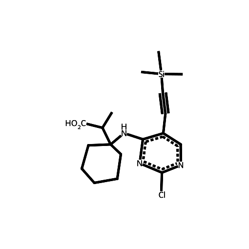 CC(C(=O)O)C1(Nc2nc(Cl)ncc2C#C[Si](C)(C)C)CCCCC1